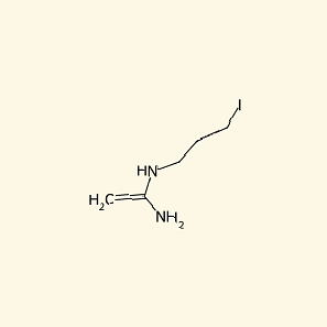 C=C(N)NCCCI